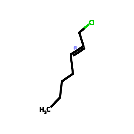 CCCC/C=C/CCl